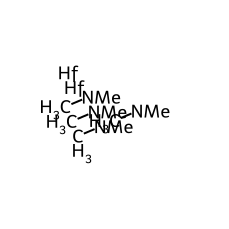 CNC.CNC.CNC.CNC.[Hf].[Hf]